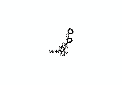 CNc1nc2oc(-c3cccc(Oc4ccccc4)c3)nc2c2c1ncn2C